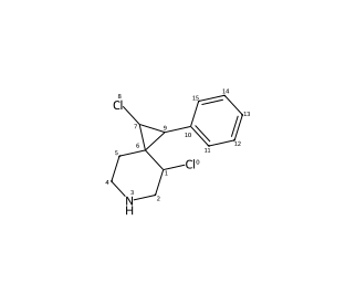 ClC1CNCCC12C(Cl)C2c1ccccc1